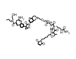 CCCN(CCO)C(=O)C1=Cc2ccc(C3(C(=O)Nc4cnc5c(c4)CN(CCOCNC(=O)CNC(=O)[C@H](CCCNC(N)=O)NC(=O)[C@@H](NC(=O)CCCCCN4C(=O)C=CC4=O)C(C)C)CC5)CC3)cc2N=C(N)C1